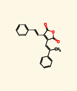 CC(=CC1=C(C=Cc2ccccc2)C(=O)OC1=O)c1ccccc1